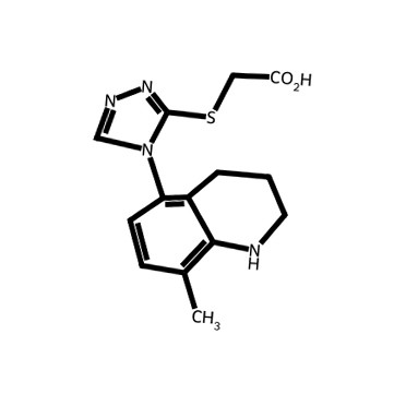 Cc1ccc(-n2cnnc2SCC(=O)O)c2c1NCCC2